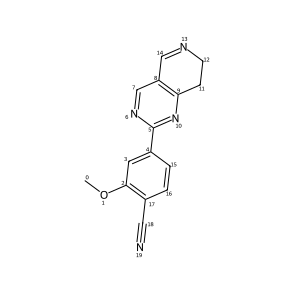 COc1cc(-c2ncc3c(n2)CCN=C3)ccc1C#N